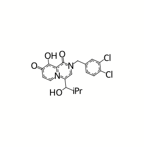 CC(C)C(O)c1cn(Cc2ccc(Cl)c(Cl)c2)c(=O)c2c(O)c(=O)ccn12